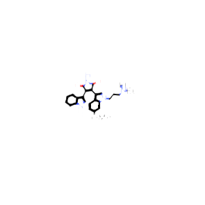 CCN(CC)CCCn1cc(C2=C(c3c[nH]c4ccccc34)C(=O)NC2=O)c2ccc(OC)cc21